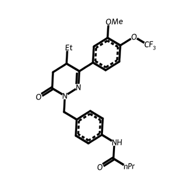 CCCC(=O)Nc1ccc(CN2N=C(c3ccc(OC(F)(F)F)c(OC)c3)C(CC)CC2=O)cc1